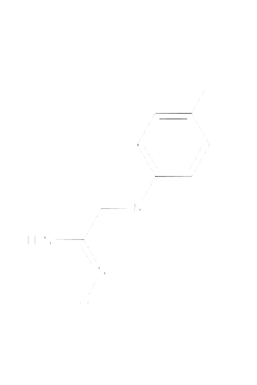 Cc1ccc(NCC(N)=NO)cc1